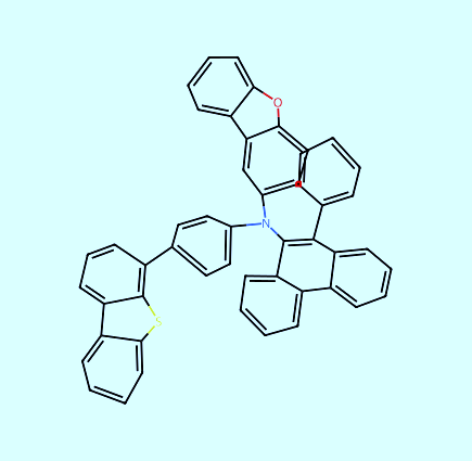 c1ccc(-c2c(N(c3ccc(-c4cccc5c4sc4ccccc45)cc3)c3ccc4oc5ccccc5c4c3)c3ccccc3c3ccccc23)cc1